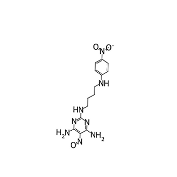 Nc1nc(NCCCCNc2ccc([N+](=O)[O-])cc2)nc(N)c1N=O